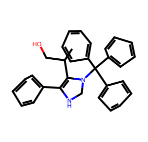 CC(CO)C1=C(c2ccccc2)NCN1C(c1ccccc1)(c1ccccc1)c1ccccc1